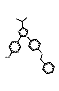 COc1ccc(-c2nc(C(F)F)cn2-c2ccc(OCc3ccccc3)cc2)cn1